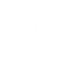 CN(C)CCc1cccc(C(=O)O)c1